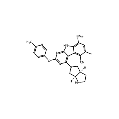 CNc1cc(F)c(C#N)c2c1[nH]c1nc(Oc3cnc(C)nc3)nc(N3C[C@H]4CCN[C@H]4C3)c12